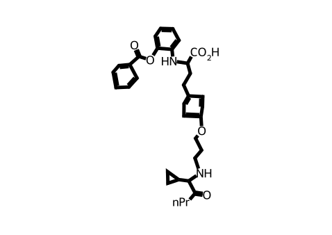 CCCC(=O)C(NCCCOc1ccc(CCC(Nc2ccccc2OC(=O)c2ccccc2)C(=O)O)cc1)C1CC1